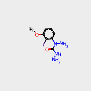 CC(C)Oc1cccc(N(N)C(=O)NN)c1I